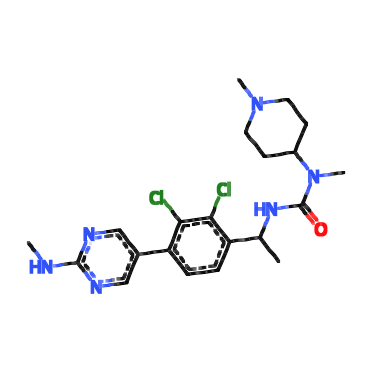 CNc1ncc(-c2ccc(C(C)NC(=O)N(C)C3CCN(C)CC3)c(Cl)c2Cl)cn1